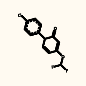 O=C1C=C(OC(F)F)C=CC1c1ccc(Cl)cc1